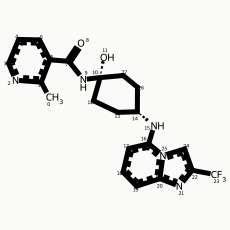 Cc1ncccc1C(=O)N[C@]1(O)CC[C@@H](Nc2cccc3nc(C(F)(F)F)cn23)CC1